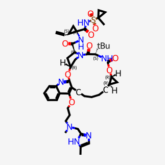 C=C[C@@H]1C[C@]1(NC(=O)[C@@H]1C[C@@H]2CN1C(=O)[C@H](C(C)(C)C)NC(=O)O[C@@H]1C[C@H]1CCCCCc1c(nc3ccccc3c1OCCCN(C)Cc1ncc(C)[nH]1)O2)C(=O)NS(=O)(=O)C1(C)CC1